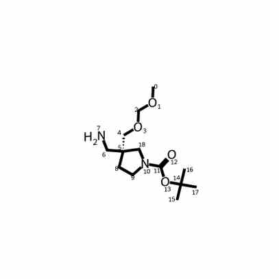 COCOC[C@@]1(CN)CCN(C(=O)OC(C)(C)C)C1